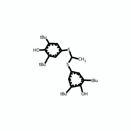 CC(Sc1cc(C(C)(C)C)c(O)c(C(C)(C)C)c1)Sc1cc(C(C)(C)C)c(O)c(C(C)(C)C)c1